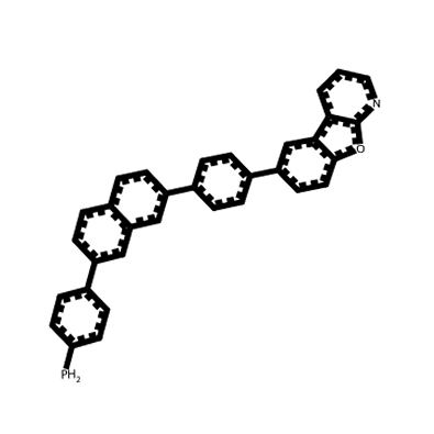 Pc1ccc(-c2ccc3ccc(-c4ccc(-c5ccc6oc7ncccc7c6c5)cc4)cc3c2)cc1